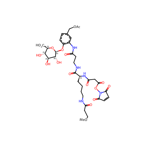 COCCC(=O)NCCCC[C@H](NC(=O)CC(=O)ON1C(=O)C=CC1=O)C(=O)NCCC(=O)Nc1cc(COC(C)=O)ccc1O[C@@H]1O[C@H](C(=O)O)[C@@H](O)[C@H](O)[C@H]1O